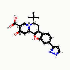 CC(C)(C)[C@@H]1Cc2c(oc3cc(-c4ccn[nH]4)ccc23)-c2cc(=O)c(C(=O)O)cn21